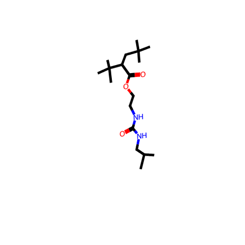 CC(C)CNC(=O)NCCOC(=O)C(CC(C)(C)C)C(C)(C)C